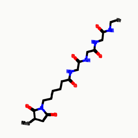 CSC1CC(=O)N(CCCCCC(=O)NCC(=O)NCC(=O)NCC(=O)NCC(C)C)C1=O